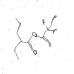 CCCC(CC)C(=O)OC(=O)C(F)(F)F